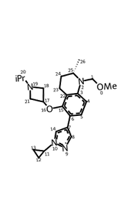 COCN1c2ccc(-c3cnn(C4CC4)c3)c(OC3CN(C(C)C)C3)c2CC[C@@H]1C